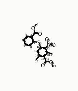 COC(=O)c1ccccc1Sc1cc(C)c(C(=O)OC)c(C)c1[N+](=O)[O-]